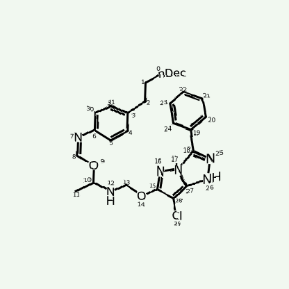 CCCCCCCCCCCCc1ccc(/N=C\OC(C)NCOc2nn3c(-c4ccccc4)n[nH]c3c2Cl)cc1